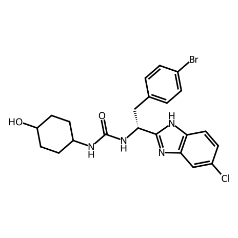 O=C(NC1CCC(O)CC1)N[C@H](Cc1ccc(Br)cc1)c1nc2cc(Cl)ccc2[nH]1